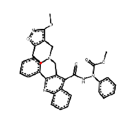 COC(=O)N(NC(=O)c1c(CN2CCc3onc(OC)c3C2)c(-c2ccccc2)nc2ccccc12)c1ccccc1